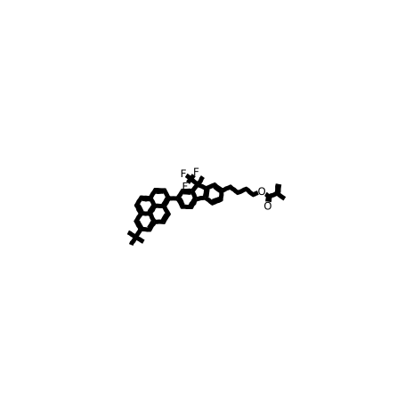 C=C(C)C(=O)OCCCCc1ccc2c(c1)C(C)(C(F)(F)F)c1cc(-c3ccc4ccc5cc(C(C)(C)C)cc6ccc3c4c56)ccc1-2